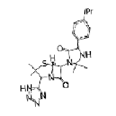 CC(C)c1ccc(C2NC(C)(C)N(C3C(=O)N4C(c5nnn[nH]5)C(C)(C)S[C@H]34)C2=O)cc1